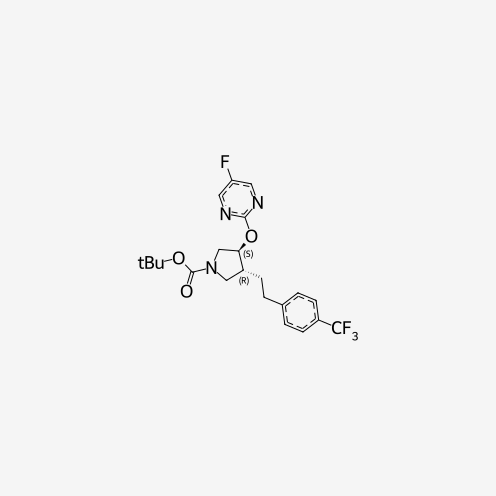 CC(C)(C)OC(=O)N1C[C@@H](CCc2ccc(C(F)(F)F)cc2)[C@H](Oc2ncc(F)cn2)C1